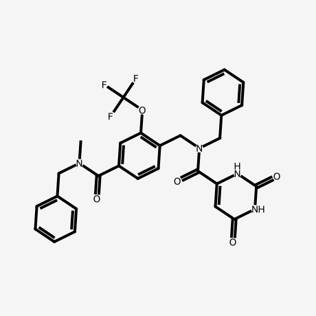 CN(Cc1ccccc1)C(=O)c1ccc(CN(Cc2ccccc2)C(=O)c2cc(=O)[nH]c(=O)[nH]2)c(OC(F)(F)F)c1